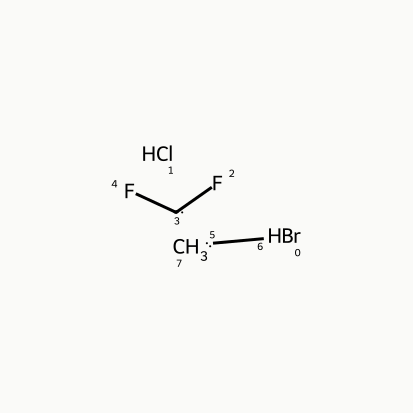 Br.Cl.F[CH]F.[CH2]C.[CH3]